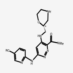 CNC(=O)c1nnc(Nc2ccc(C#N)cn2)cc1NC[C@H]1CNCCO1